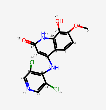 COc1ccc2c(Nc3c(Cl)cncc3Cl)cc(=O)[nH]c2c1O